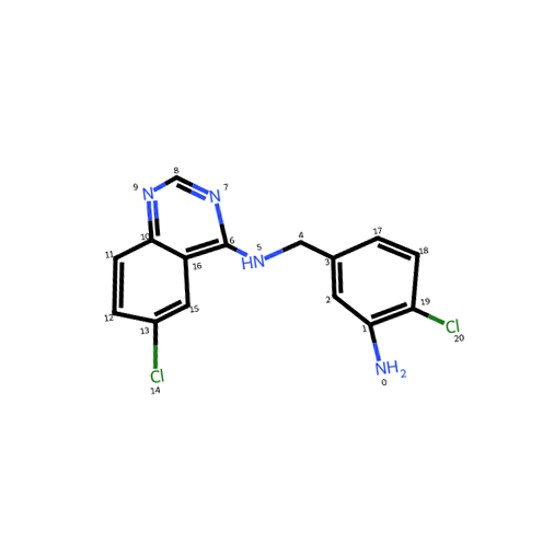 Nc1cc(CNc2ncnc3ccc(Cl)cc23)ccc1Cl